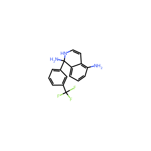 Nc1cccc2c1C=CNC2(N)c1cccc(C(F)(F)F)c1